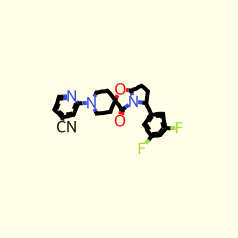 N#Cc1ccnc(N2CCC3(CC2)OC2CCC(c4cc(F)cc(F)c4)N2C3=O)c1